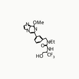 CCN(Cc1cccc(-c2cn3ccnc3c(OC)n2)c1)C(=O)NC(CO)C(F)(F)F